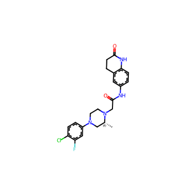 C[C@@H]1CN(c2ccc(Cl)c(F)c2)CCN1CC(=O)Nc1ccc2c(c1)CCC(=O)N2